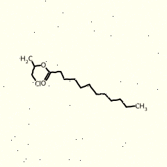 [CH2]C(CCl)OC(=O)CCCCCCCCCCC